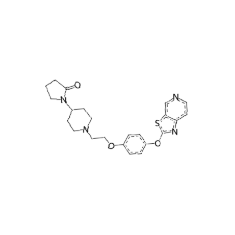 O=C1CCCN1C1CCN(CCOc2ccc(Oc3nc4ccncc4s3)cc2)CC1